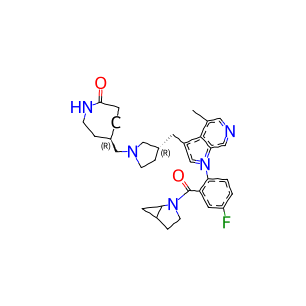 Cc1cncc2c1c(C[C@@H]1CCN(C[C@H]3CCNC(=O)CC3)C1)cn2-c1ccc(F)cc1C(=O)N1CCC2CC21